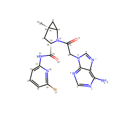 Nc1ncnc2c1ncn2CC(=O)N1C2C[C@@H]2C[C@H]1C(=O)Nc1cccc(Br)n1